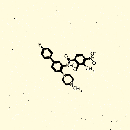 Cc1c([N+](=O)[O-])ccc(C(=O)Nc2cc(-c3ccc(F)cc3)ccc2N2CCN(C)CC2)c1Cl